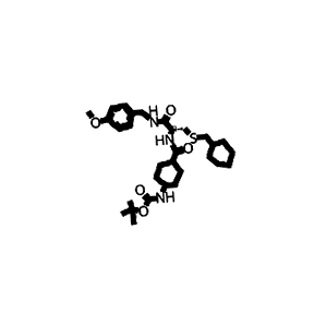 COc1ccc(CNC(=O)[C@H](CSCC2CCCCC2)NC(=O)C2CCC(NC(=O)OC(C)(C)C)CC2)cc1